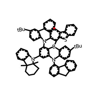 CC(C)(C)c1ccc2c(c1)B1c3c(cc(N4c5ccccc5C5(C)CCCCC45C)cc3N(c3ccc(C(C)(C)C)cc3-c3ccccc3)c3ccc4c(sc5ccccc54)c31)N2c1cccc2c1-c1ccccc1C2